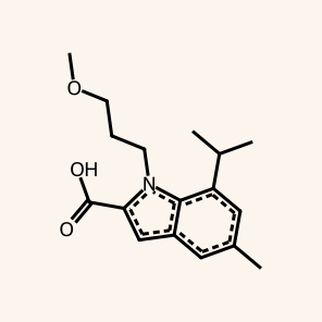 COCCCn1c(C(=O)O)cc2cc(C)cc(C(C)C)c21